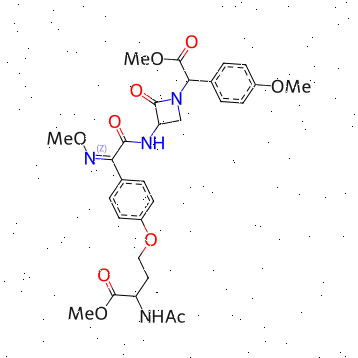 CO/N=C(\C(=O)NC1CN(C(C(=O)OC)c2ccc(OC)cc2)C1=O)c1ccc(OCCC(NC(C)=O)C(=O)OC)cc1